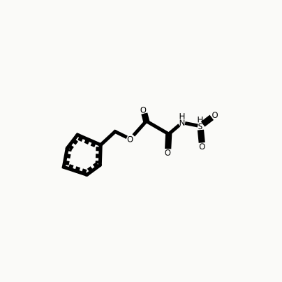 O=C(N[SH](=O)=O)C(=O)OCc1ccccc1